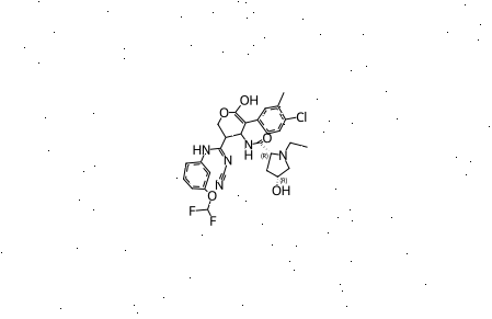 CCN1C[C@H](O)C[C@@H]1C(=O)NC1C(c2ccc(Cl)c(C)c2)=C(O)OCC1C(=NC#N)Nc1cccc(OC(F)F)c1